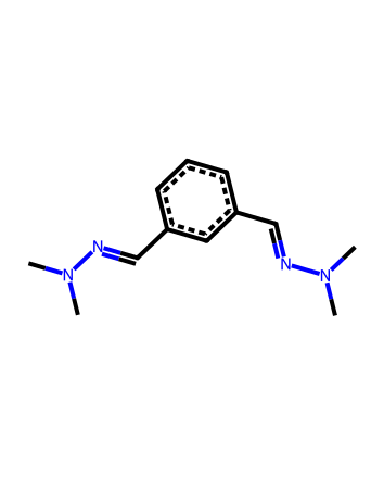 CN(C)N=Cc1cccc(C=NN(C)C)c1